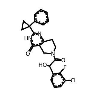 O=C(C(O)c1cccc(Cl)c1F)N1CCc2nc(C3(c4ccccc4)CC3)[nH]c(=O)c2C1